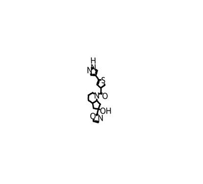 O=C(C1C=C(c2cn[nH]c2)SC1)N1CCCC2CC(O)(c3ncco3)CC21